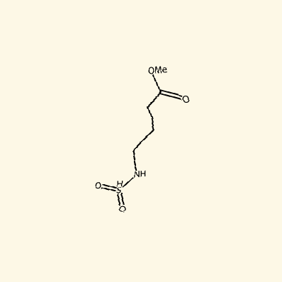 COC(=O)CCCN[SH](=O)=O